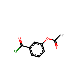 CC(C)C(=O)Oc1cccc(C(=O)Cl)c1